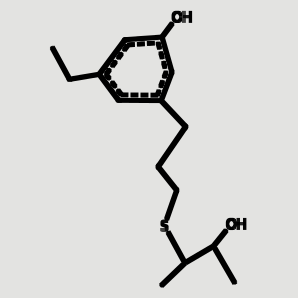 CCc1cc(O)cc(CCCSC(C)C(C)O)c1